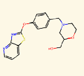 OCC1CN(Cc2ccc(Oc3nc4ncccc4s3)cc2)CCO1